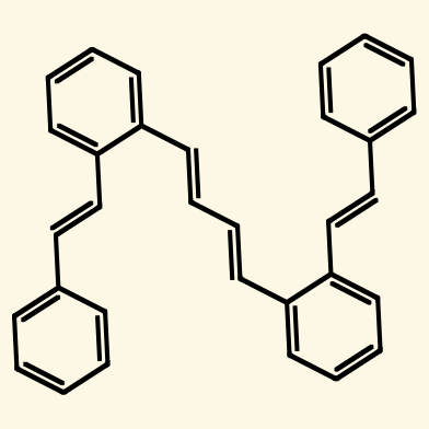 C(/C=C/c1ccccc1/C=C/c1ccccc1)=C\c1ccccc1/C=C/c1ccccc1